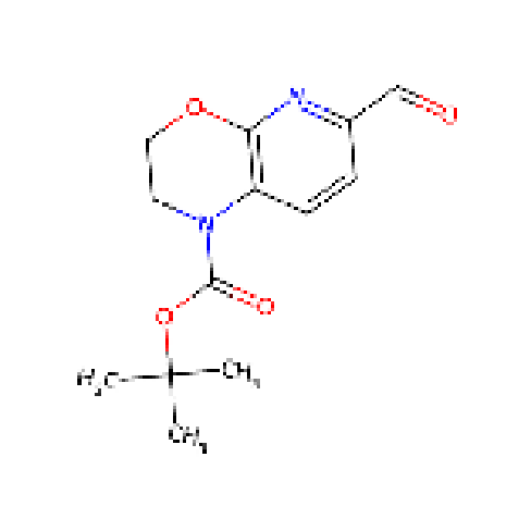 CC(C)(C)OC(=O)N1CCOc2nc(C=O)ccc21